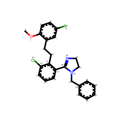 COc1ccc(Br)cc1CCc1c(Cl)cccc1C1=NCCN1Cc1ccccc1